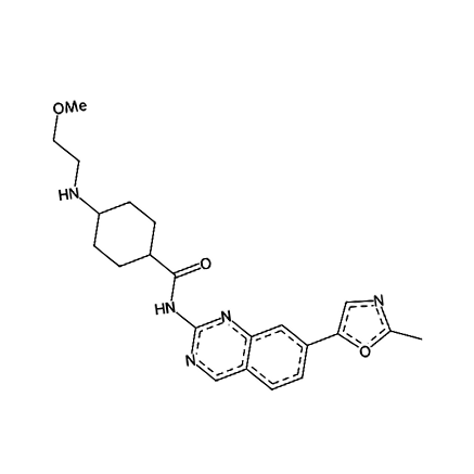 COCCNC1CCC(C(=O)Nc2ncc3ccc(-c4cnc(C)o4)cc3n2)CC1